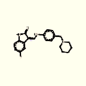 O=C1Nc2ccc(F)cc2/C1=C/Nc1ccc(CN2CCCCC2)cc1